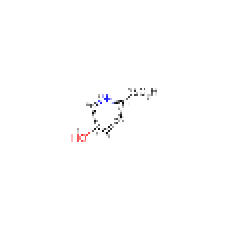 O=S(=O)(O)c1ccc(O)cn1